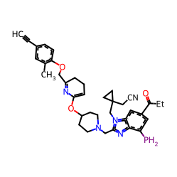 C#Cc1ccc(OCC2=NC(OC3CCN(Cc4nc5c(P)cc(C(=O)CC)cc5n4CC4(CC#N)CC4)CC3)=CCC2)c(C)c1